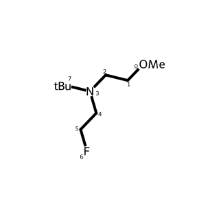 COCCN(CCF)C(C)(C)C